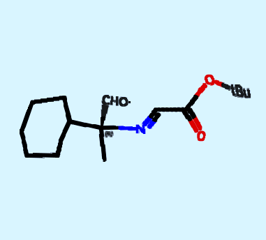 CC(C)(C)OC(=O)C=N[C@@](C)([C]=O)C1CCCCC1